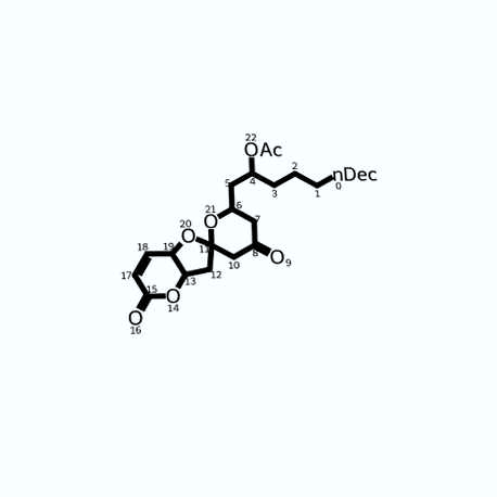 CCCCCCCCCCCCCC(CC1CC(=O)CC2(CC3OC(=O)C=CC3O2)O1)OC(C)=O